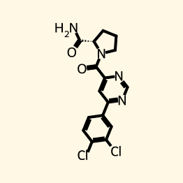 NC(=O)[C@@H]1CCCN1C(=O)c1cc(-c2ccc(Cl)c(Cl)c2)ncn1